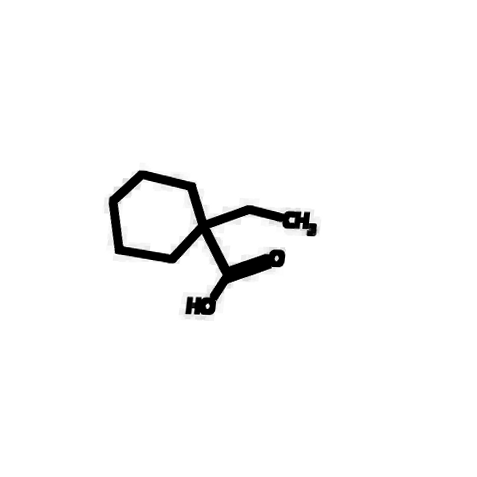 CCC1(C(=O)O)CCCCC1